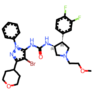 COCCN1C[C@@H](NC(=O)Nc2c(Br)c(C3CCOCC3)nn2-c2ccccc2)[C@H](c2ccc(F)c(F)c2)C1